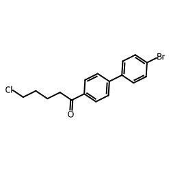 O=C(CCCCCl)c1ccc(-c2ccc(Br)cc2)cc1